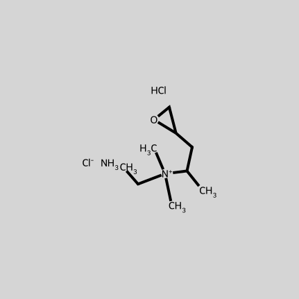 CC[N+](C)(C)C(C)CC1CO1.Cl.N.[Cl-]